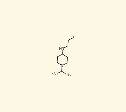 CCCCC(CCCC)N1CCC(NCCF)CC1